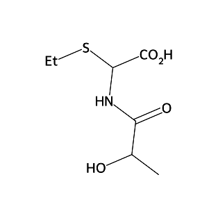 CCSC(NC(=O)C(C)O)C(=O)O